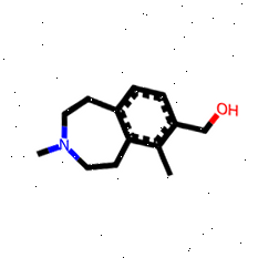 Cc1c(CO)ccc2c1CCN(C)CC2